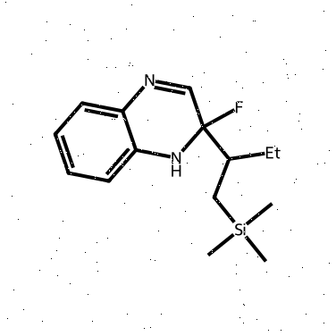 CCC(C[Si](C)(C)C)C1(F)C=Nc2ccccc2N1